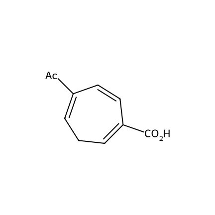 CC(=O)C1=CCC=C(C(=O)O)C=C1